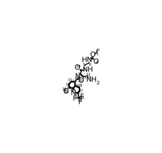 CCOC(=O)NCCNC(=O)c1nc(-c2ccc(OC)c3nc(C(F)(F)F)ccc23)oc1CN